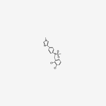 Cn1cnc(-c2ccc(N(Cc3cccc(Cl)c3Cl)S(C)(=O)=O)cc2)c1